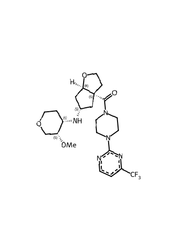 CO[C@@H]1COCC[C@@H]1N[C@@H]1C[C@H]2OCC[C@@]2(C(=O)N2CCN(c3nccc(C(F)(F)F)n3)CC2)C1